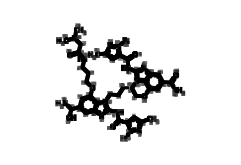 CCn1nc(C)cc1C(=O)Nc1nc2cc(C(N)O)cc(OCCCNC(=O)CN(C)C)c2n1CCC[C@H]1COc2cc(C(N)=O)cc3nc(NC(=O)c4cc(C)nn4CC)n1c23